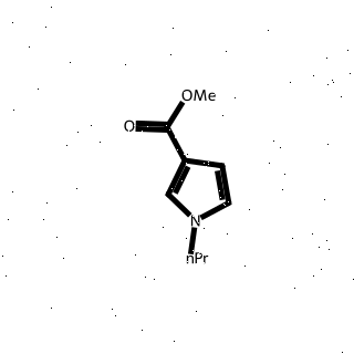 CCCn1ccc(C(=O)OC)c1